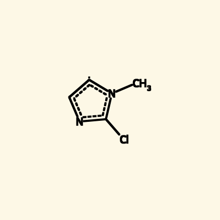 Cn1[c]cnc1Cl